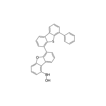 OBc1cccc2oc3c(-c4cccc5c4sc4c(-c6ccccc6)cccc45)cccc3c12